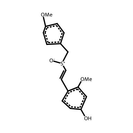 COc1ccc(C[S+]([O-])C=Cc2ccc(O)cc2OC)cc1